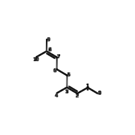 C[CH]/C=C(/C)CCC=C(C)C